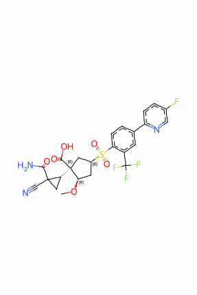 CO[C@@H]1C[C@H](S(=O)(=O)c2ccc(-c3ccc(F)cn3)cc2C(F)(F)F)C[C@@]1(C(=O)O)C1CC1(C#N)C(N)=O